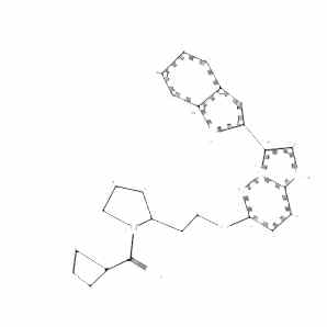 O=C(C1CCC1)N1CCCC1CCOc1ccc2ncc(-c3cc4ccccc4o3)n2n1